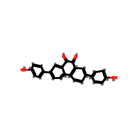 O=C1C(=O)c2cc(-c3ccc(O)cc3)ccc2-c2ccc(-c3ccc(O)cc3)cc21